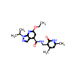 CCOc1cc(C(=O)NCc2c(C)cc(C)[nH]c2=O)c2cnn(C(C)C)c2n1